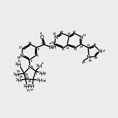 [2H]C1([2H])N(c2cc(C(=O)Nc3cc4cc(-c5cncn5C)ncc4cn3)ccn2)C([2H])([2H])C([2H])([2H])C1([2H])[2H]